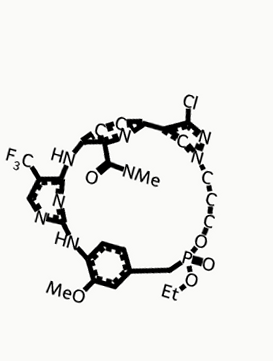 CCOP1(=O)Cc2ccc(c(OC)c2)Nc2ncc(C(F)(F)F)c(n2)Nc2ccc(nc2C(=O)NC)-c2cn(nc2Cl)CCCO1